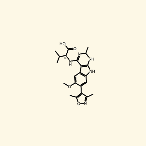 COc1cc2c3c([nH]c2cc1-c1c(C)noc1C)NC(C)N=C3N[C@H](C(=O)O)C(C)C